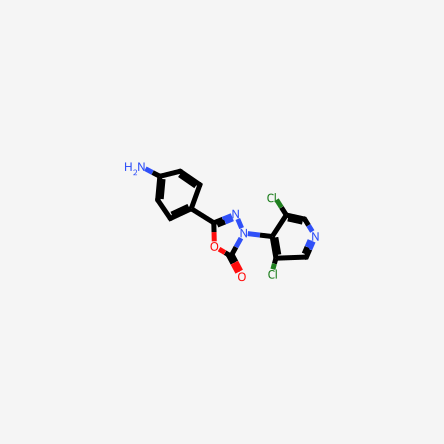 Nc1ccc(-c2nn(-c3c(Cl)cncc3Cl)c(=O)o2)cc1